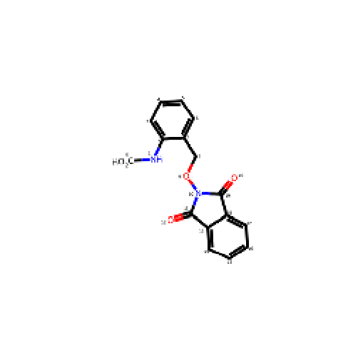 O=C(O)Nc1ccccc1CON1C(=O)c2ccccc2C1=O